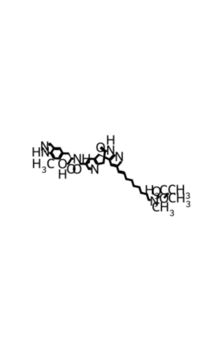 Cc1cc(C[C@@H](NC(=O)c2cnc3c(c2)C[C@@]2(C3)C(=O)Nc3ncc(/C=C/CCCCCCCN(C)C(=O)OC(C)(C)C)cc32)C(=O)O)cc2cn[nH]c12